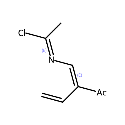 C=C/C(=C\N=C(/C)Cl)C(C)=O